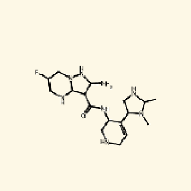 CC1NCC(C2=CCNCC2NC(=O)C2C(N)NN3CC(F)CNC23)N1C